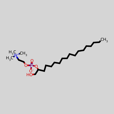 CCCCCCCCCCCCCCCCC(CO)OP(=O)([O-])OCC[N+](C)(C)C